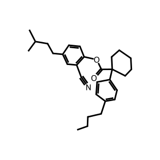 CCCCc1ccc(C2(C(=O)Oc3ccc(CCC(C)C)cc3C#N)CCCCC2)cc1